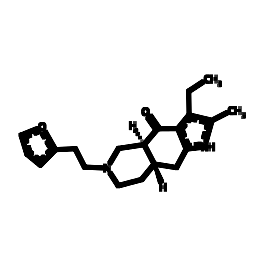 CCc1c(C)[nH]c2c1C(=O)[C@@H]1CN(CCc3ccco3)CC[C@H]1C2